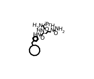 CC(C)[C@H](N)C(=O)N[C@@H](CCCNC(N)=O)C(=O)Nc1ccc(CC2CCCCCCCCCCC2)cc1